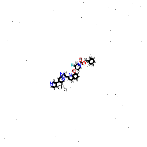 Cc1ccncc1-c1ccn2c(-c3ccc4cccc(OC5CCN(C(=O)OCc6ccccc6)CC5F)c4n3)cnc2c1